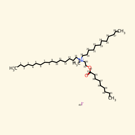 CCCCCCCCCCCCCCCC[N+](C)(CCCCCCCCCCCC)CCOC(=O)CCCCCCCC.[I-]